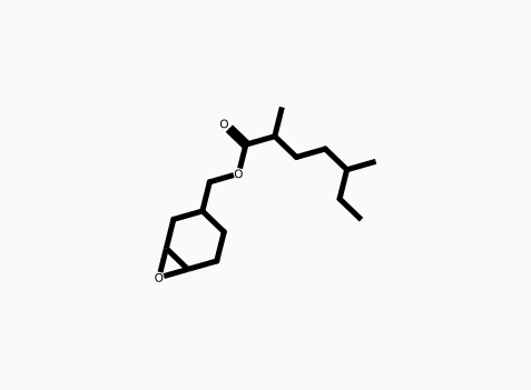 CCC(C)CCC(C)C(=O)OCC1CCC2OC2C1